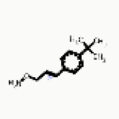 CC(C)(C)c1ccc(/C=C/CON)cc1